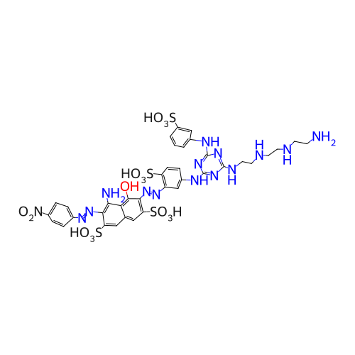 NCCNCCNCCNc1nc(Nc2cccc(S(=O)(=O)O)c2)nc(Nc2ccc(S(=O)(=O)O)c(/N=N/c3c(S(=O)(=O)O)cc4cc(S(=O)(=O)O)c(/N=N/c5ccc([N+](=O)[O-])cc5)c(N)c4c3O)c2)n1